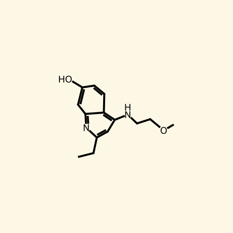 CCc1cc(NCCOC)c2ccc(O)cc2n1